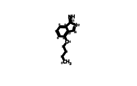 CCCCOc1cccc2c1C=NC2=N